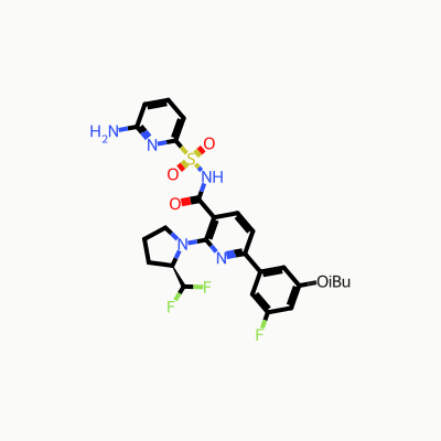 CC(C)COc1cc(F)cc(-c2ccc(C(=O)NS(=O)(=O)c3cccc(N)n3)c(N3CCC[C@@H]3C(F)F)n2)c1